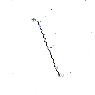 CC(C)(C)CC=NCCCCCCCCCNCCCCCCCCCN=CCC(C)(C)C